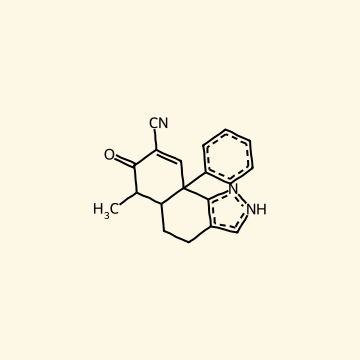 CC1C(=O)C(C#N)=CC2(c3ccccc3)c3n[nH]cc3CCC12